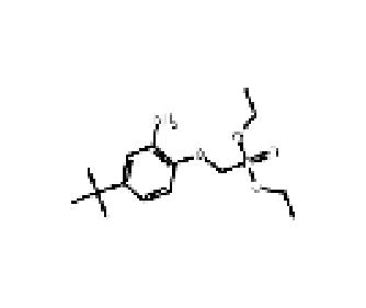 CCOP(=O)(COc1ccc(C(C)(C)C)cc1N)OCC